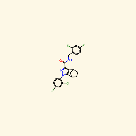 O=C(NCc1ccc(F)cc1F)c1nn(-c2ccc(Cl)cc2Cl)c2c1C1CCC2C1